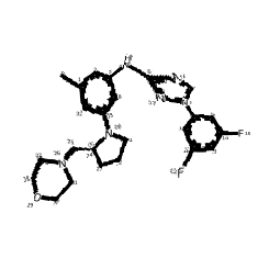 Cc1cc(Nc2ncn(-c3cc(F)cc(F)c3)n2)cc(N2CCC[C@H]2CN2CCOCC2)c1